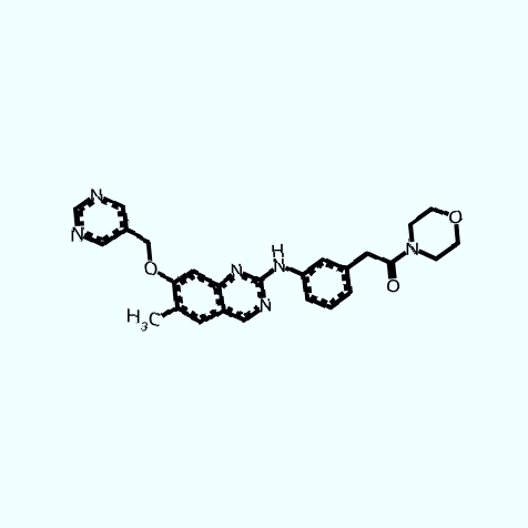 Cc1cc2cnc(Nc3cccc(CC(=O)N4CCOCC4)c3)nc2cc1OCc1cncnc1